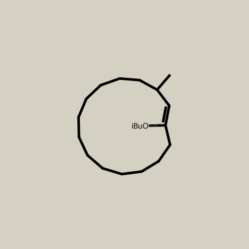 CC(C)CO/C1=C\C(C)CCCCCCCCCCCC1